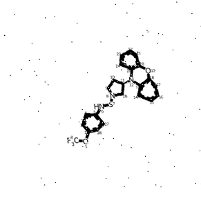 FC(F)(F)Oc1ccc(NSN2CC[C@@H](N3c4ccccc4Oc4ccccc43)C2)cc1